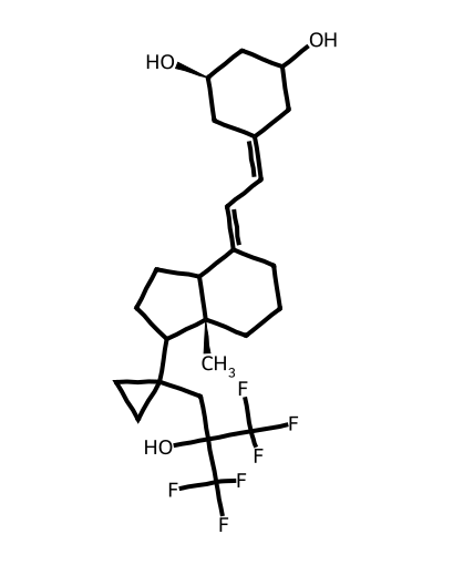 C[C@]12CCC/C(=C\C=C3\CC(O)C[C@H](O)C3)C1CCC2C1(CC(O)(C(F)(F)F)C(F)(F)F)CC1